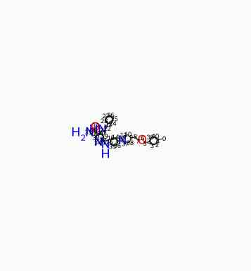 Cc1ccc(COCCC2CCN(c3ccc(Nc4cc(NCc5ccccc5)c(C(N)=O)cn4)cc3)CC2)cc1